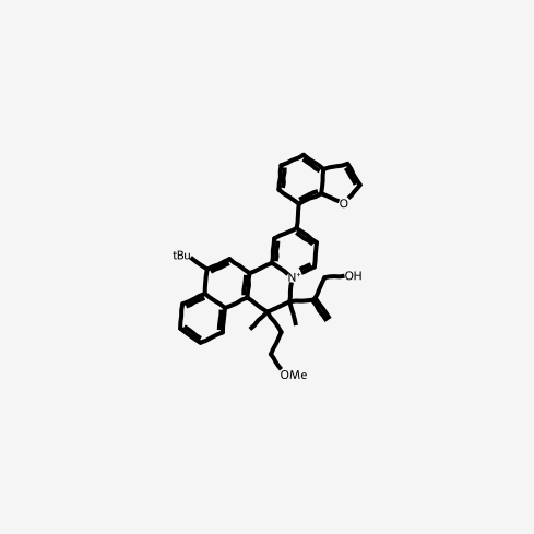 C=C(CO)C1(C)[n+]2ccc(-c3cccc4ccoc34)cc2-c2cc(C(C)(C)C)c3ccccc3c2C1(C)CCOC